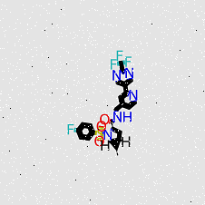 C[C@H]1[C@H]2C[C@@H](C(=O)NCc3ccnc(-c4cnc(C(F)(F)F)nc4)c3)N(S(=O)(=O)c3ccc(F)cc3)[C@@H]12